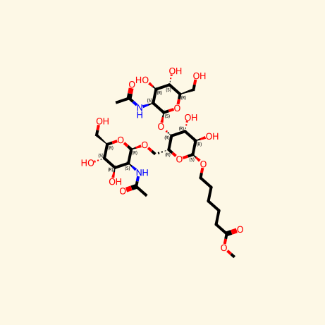 COC(=O)CCCCCO[C@H]1O[C@H](CO[C@@H]2O[C@H](CO)[C@@H](O)[C@H](O)[C@@H]2NC(C)=O)[C@H](O[C@@H]2O[C@H](CO)[C@@H](O)[C@H](O)[C@@H]2NC(C)=O)[C@H](O)[C@H]1O